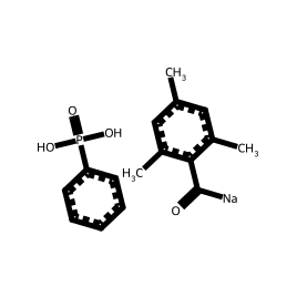 Cc1cc(C)c([C](=O)[Na])c(C)c1.O=P(O)(O)c1ccccc1